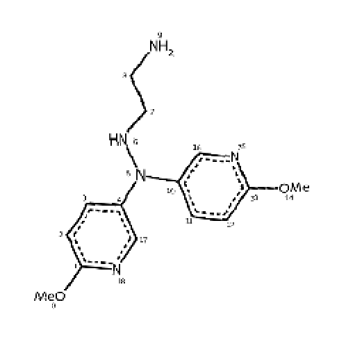 COc1ccc(N(NCCN)c2ccc(OC)nc2)cn1